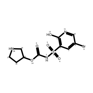 O=C(NS(=O)(=O)c1cc(Br)cnc1O)OC1CCNC1